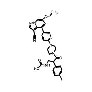 CCOc1cc(-c2ccc(N3CCN(C(=O)C(CNC(=O)O)c4ccc(F)cc4)CC3)nc2)c2c(C#N)cnn2c1